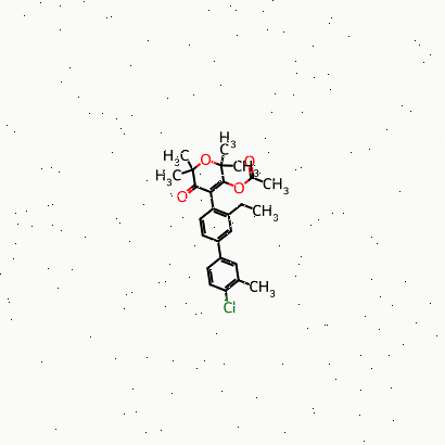 CCc1cc(-c2ccc(Cl)c(C)c2)ccc1C1=C(OC(C)=O)C(C)(C)OC(C)(C)C1=O